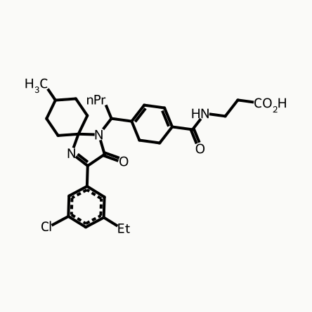 CCCC(C1=CC=C(C(=O)NCCC(=O)O)CC1)N1C(=O)C(c2cc(Cl)cc(CC)c2)=NC12CCC(C)CC2